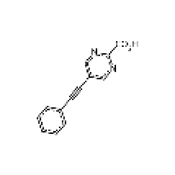 O=C(O)c1ncc(C#Cc2ccccc2)cn1